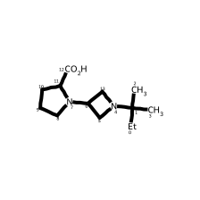 CCC(C)(C)N1CC(N2CCCC2C(=O)O)C1